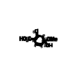 COC1(O)C=CC(C(=O)O)=C(Cl)C1